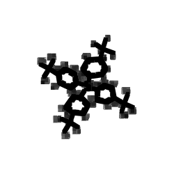 CC(C)(C)c1ccc([Si](c2ccc(C(C)(C)C)cc2)(c2ccc(C(C)(C)C)cc2)c2ccc(C(C)(C)C)cc2)cc1